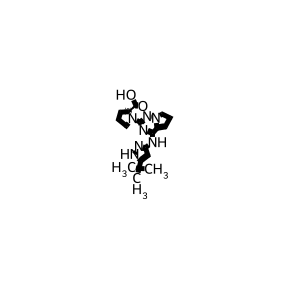 CC(C)(C)c1cc(NC2=NC(N3CCC[C@H]3C(=O)O)=NN3CCC=C23)n[nH]1